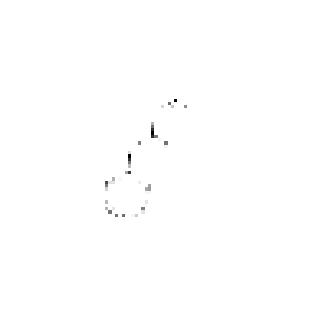 O=C(O)/C=C\C(=O)Oc1ccccc1.[Hg]